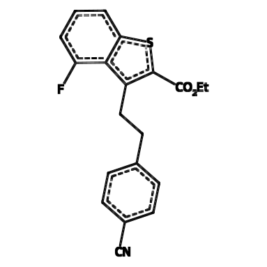 CCOC(=O)c1sc2cccc(F)c2c1CCc1ccc(C#N)cc1